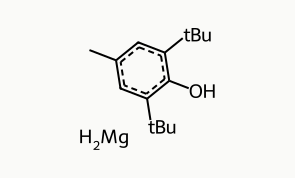 Cc1cc(C(C)(C)C)c(O)c(C(C)(C)C)c1.[MgH2]